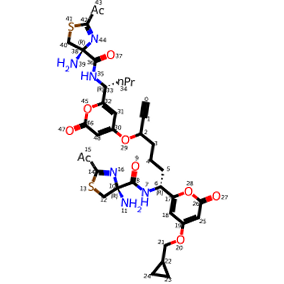 C#CC(CCC[C@@H](NC(=O)[C@]1(N)CSC(C(C)=O)=N1)c1cc(OCC2CC2)cc(=O)o1)Oc1cc([C@@H](CCC)NC(=O)[C@]2(N)CSC(C(C)=O)=N2)oc(=O)c1